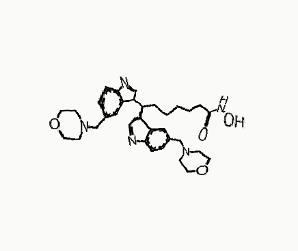 O=C(CCCCCC(C1C=Nc2ccc(CN3CCOCC3)cc21)C1C=Nc2ccc(CN3CCOCC3)cc21)NO